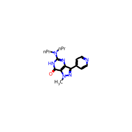 CCCN(CCC)c1nc2c(-c3ccncc3)nn(C)c2c(=O)[nH]1